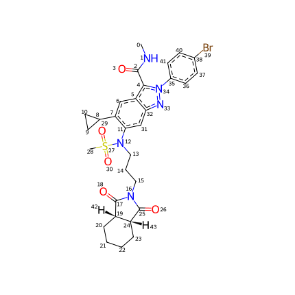 CNC(=O)c1c2cc(C3CC3)c(N(CCCN3C(=O)[C@H]4CCCC[C@H]4C3=O)S(C)(=O)=O)cc2nn1-c1ccc(Br)cc1